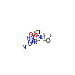 CSCC(=O)Nc1c2c(nn1-c1ccc(C#N)cn1)CC(CCc1cccc(C3CC3)c1)NC2=O